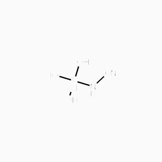 N#CN[PH](O)(O)O